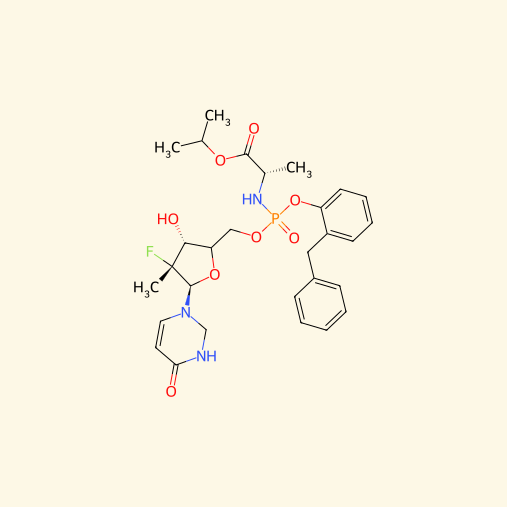 CC(C)OC(=O)[C@H](C)NP(=O)(OCC1O[C@@H](N2C=CC(=O)NC2)[C@](C)(F)[C@@H]1O)Oc1ccccc1Cc1ccccc1